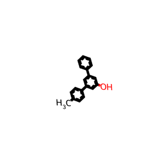 Cc1ccc(-c2cc(O)cc(-c3ccccc3)c2)cc1